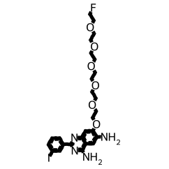 Nc1cc2c(N)nc(-c3cccc(I)c3)nc2cc1OCCOCCOCCOCCOCCOCCF